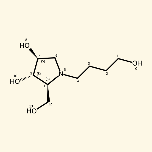 OCCCCN1C[C@H](O)[C@@H](O)[C@@H]1CO